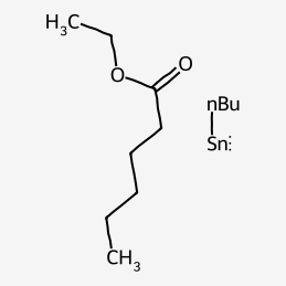 CCCCCC(=O)OCC.CCC[CH2][Sn]